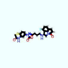 O=C1CSc2ccc(-n3nc(CCCN[C@H]4Cn5c(=O)ccc6ccc(F)c4c65)oc3=O)cc2N1